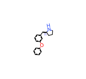 C(=C1/CCCN1)/c1cccc(Oc2ccccc2)c1